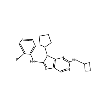 Fc1ccccc1Nc1nc2cnc(NC3CCC3)nc2n1C1CCCC1